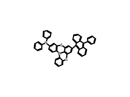 c1ccc(-c2c3ccccc3c(-c3cc4c5c(c3)Sc3cc(N(c6ccccc6)c6ccccc6)ccc3B5c3ccccc3S4)c3ccccc23)cc1